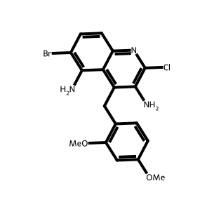 COc1ccc(Cc2c(N)c(Cl)nc3ccc(Br)c(N)c23)c(OC)c1